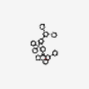 c1ccc(-c2cc(-c3ccccc3)cc(-c3ccc4c(c3)-c3ccc(N(c5cccc(-c6ccccc6)c5)c5ccccc5-c5ccccc5)cc3C4(c3ccccc3)c3ccccc3)c2)cc1